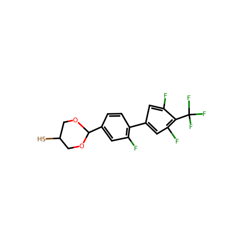 Fc1cc(C2OCC(S)CO2)ccc1-c1cc(F)c(C(F)(F)F)c(F)c1